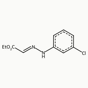 CCOC(=O)C=NNc1cccc(Cl)c1